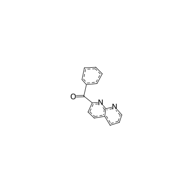 O=C(c1ccccc1)c1ccc2cccnc2n1